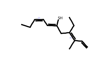 C=C/C(C)=C(\CC)CC(S)=C/C=C\CC